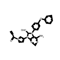 C#CC(=O)n1ccc(N2c3ncnc(N)c3N(c3ccc(Oc4ccccc4)cc3)C2C=O)c1